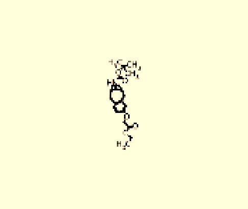 CCOC(=O)COc1ccc2c(c1)CC1CCC(C2)C1NC(=O)OC(C)(C)C